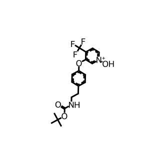 CC(C)(C)OC(=O)NCCc1ccc(Oc2c[n+](O)ccc2C(F)(F)F)cc1